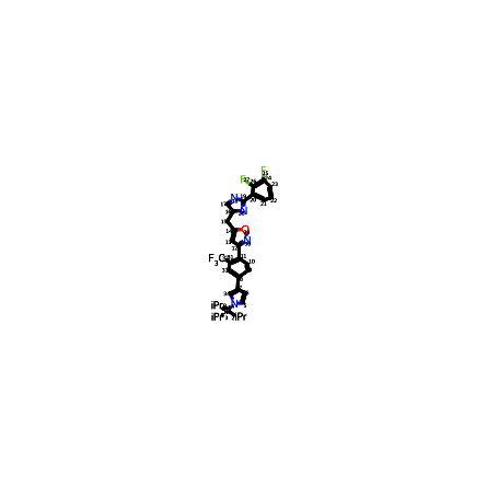 CC(C)[Si](C(C)C)(C(C)C)n1ccc(-c2ccc(-c3cc(CC4C=NC(c5cccc(F)c5F)=N4)on3)c(C(F)(F)F)c2)c1